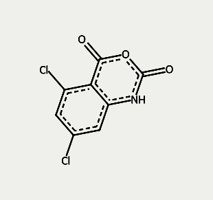 O=c1[nH]c2cc(Cl)cc(Cl)c2c(=O)o1